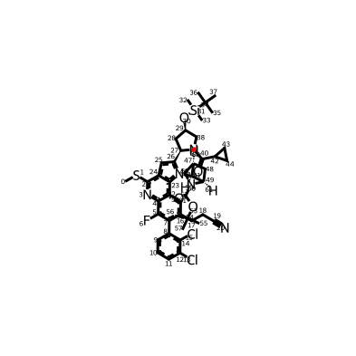 CSc1nc2c(F)c(-c3cccc(Cl)c3Cl)c(CCC#N)cc2c2c1cc([C@H]1C[C@@H](O[Si](C)(C)C(C)(C)C)CN1C(=O)C1CC1)n2[C@H]1[C@@H]2C[C@H]1N(C(=O)OC(C)(C)C)C2